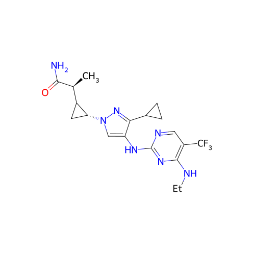 CCNc1nc(Nc2cn([C@@H]3CC3[C@H](C)C(N)=O)nc2C2CC2)ncc1C(F)(F)F